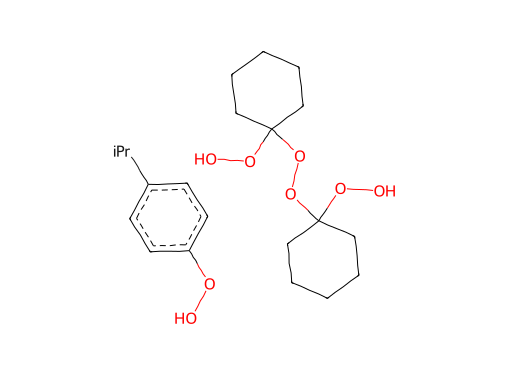 CC(C)c1ccc(OO)cc1.OOC1(OOC2(OO)CCCCC2)CCCCC1